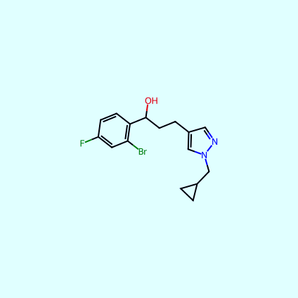 OC(CCc1cnn(CC2CC2)c1)c1ccc(F)cc1Br